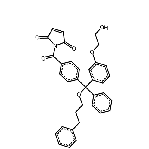 O=C1C=CC(=O)N1C(=O)c1ccc(C(OCCCc2ccccc2)(c2ccccc2)c2cccc(OCCO)c2)cc1